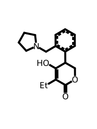 CCC1=C(O)C(c2ccccc2CN2CCCC2)COC1=O